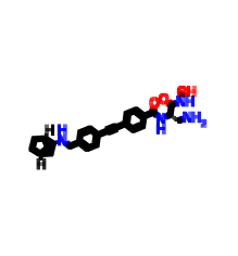 NC[C@H](NC(=O)c1ccc(C#Cc2ccc(CN[C@@H]3C[C@@H]4CC[C@@H]3C4)cc2)cc1)C(=O)NO